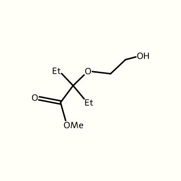 CCC(CC)(OCCO)C(=O)OC